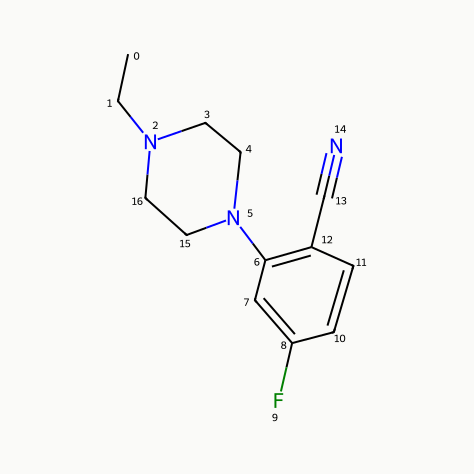 CCN1CCN(c2cc(F)ccc2C#N)CC1